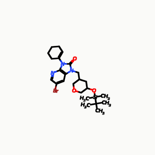 CC(C)(C)[Si](C)(C)OC1COCC(Cn2c(=O)n(C3=CCCCC3)c3ncc(Br)cc32)C1